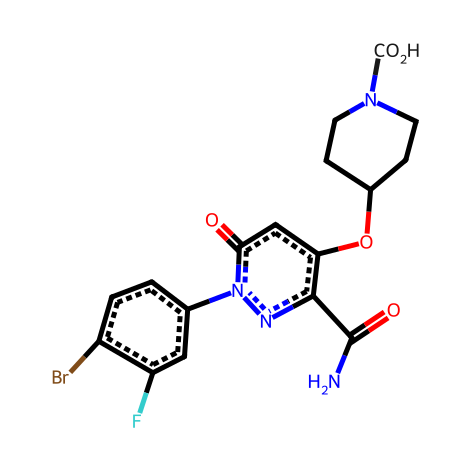 NC(=O)c1nn(-c2ccc(Br)c(F)c2)c(=O)cc1OC1CCN(C(=O)O)CC1